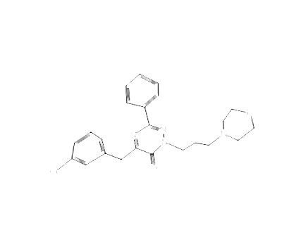 O=c1c(Cc2cccc(Cl)c2)nc(-c2ccccc2)nn1CCCN1CCOCC1